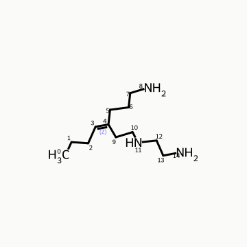 CCC/C=C(/CCCN)CCNCCN